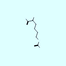 CC(=O)NCCCCC(C)C(N)=O